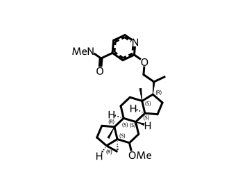 CNC(=O)c1ccnc(OCC(C)[C@H]2CC[C@H]3[C@@H]4CC(OC)[C@@]56C[C@H]5CC[C@]6(C)[C@H]4CC[C@]23C)c1